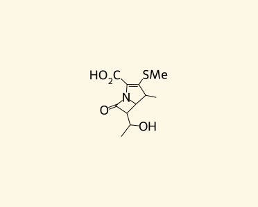 CSC1=C(C(=O)O)N2C(=O)C(C(C)O)C2C1C